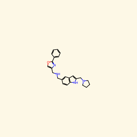 c1ccc(-c2nc(CNCc3ccc4[nH]c(CN5CCCC5)cc4c3)co2)cc1